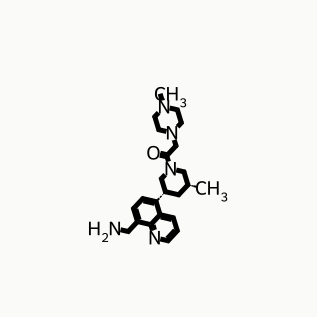 C[C@@H]1C[C@H](c2ccc(CN)c3ncccc23)CN(C(=O)CN2CCN(C)CC2)C1